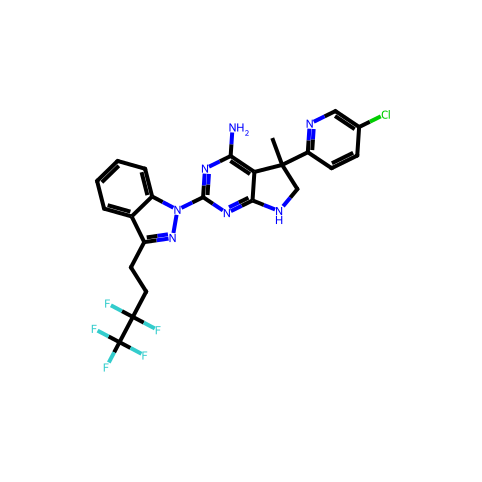 CC1(c2ccc(Cl)cn2)CNc2nc(-n3nc(CCC(F)(F)C(F)(F)F)c4ccccc43)nc(N)c21